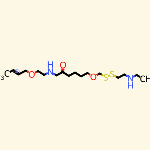 C/C=C/COCCNCC(=O)CCCCOCSSCCNCC